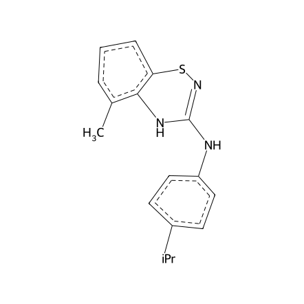 Cc1cccc2c1NC(Nc1ccc(C(C)C)cc1)=NS2